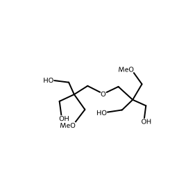 COCC(CO)(CO)COCC(CO)(CO)COC